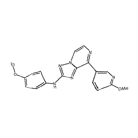 CCOc1ccc(Nc2nc3c(-c4ccc(OC)nc4)nccn3n2)cc1